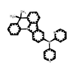 CC1(C)c2ccccc2-n2c3ccc(N(c4ccncc4)c4ccccn4)cc3c3cccc1c32